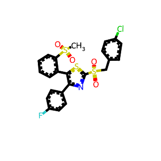 CS(=O)(=O)c1ccccc1-c1sc(S(=O)(=O)Cc2ccc(Cl)cc2)nc1-c1ccc(F)cc1